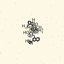 Cc1cccc2[nH]c(C(=O)C(C)(C)[C@H](N)C(=O)NC(C(=O)Cc3cc(-c4ncc[nH]4)cc4ccccc34)C(O)C(=O)O)c(C)c12